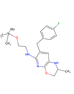 CC1COc2nc(NCCO[Si](C)(C)C(C)(C)C)c(Cc3ccc(F)cc3)cc2N1